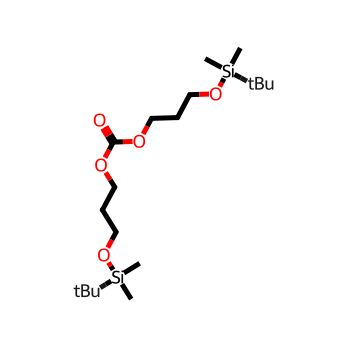 CC(C)(C)[Si](C)(C)OCCCOC(=O)OCCCO[Si](C)(C)C(C)(C)C